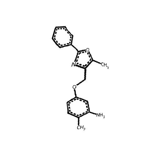 Cc1ccc(OCc2nc(-c3ccccc3)oc2C)cc1N